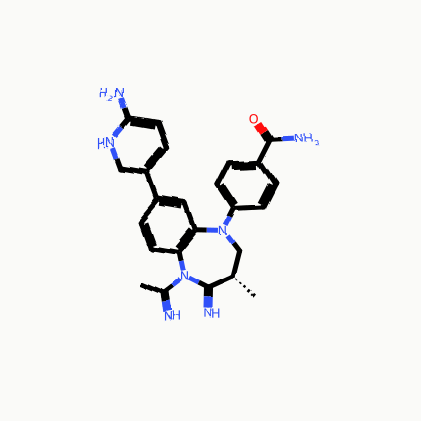 CC(=N)N1C(=N)[C@@H](C)CN(c2ccc(C(N)=O)cc2)c2cc(C3=CC=C(N)NC3)ccc21